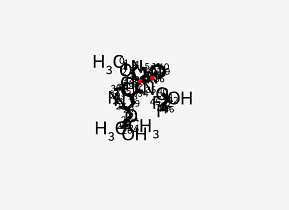 CCOc1ncc(CN2C3CC2CN(c2ccc(-c4cc(OCC(C)(C)O)cn5ncc(Cl)c45)cn2)C3)cc1F.O=C(O)C(F)(F)F